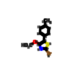 Cc1ccc(-c2sc(Br)nc2OC(=O)O)cc1